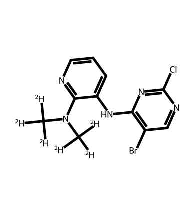 [2H]C([2H])([2H])N(c1ncccc1Nc1nc(Cl)ncc1Br)C([2H])([2H])[2H]